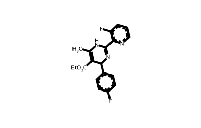 CCOC(=O)C1=C(C)NC(c2ncccc2F)=NC1c1ccc(F)cc1